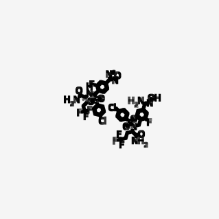 NC(=O)C(CCC(F)(F)F)N(Cc1ccc(C(N)=NO)cc1F)S(=O)(=O)c1ccc(Cl)cc1.NC(=O)[C@@H](CCC(F)(F)F)N[C@@H](c1ccc(-c2ncon2)cc1F)S(=O)(=O)c1ccc(Cl)cc1